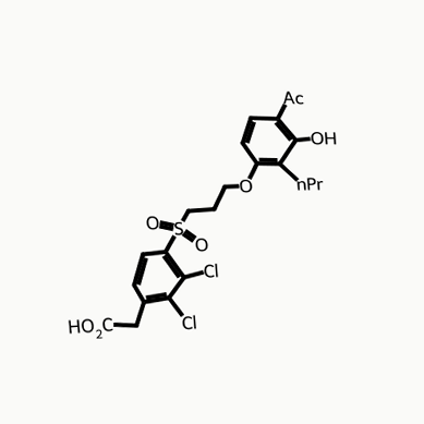 CCCc1c(OCCCS(=O)(=O)c2ccc(CC(=O)O)c(Cl)c2Cl)ccc(C(C)=O)c1O